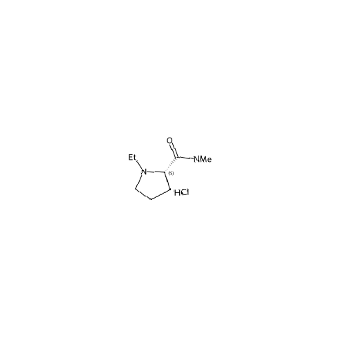 CCN1CCC[C@H]1C(=O)NC.Cl